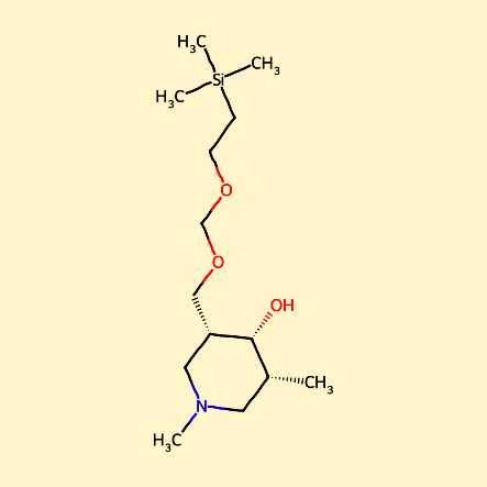 C[C@@H]1CN(C)C[C@H](COCOCC[Si](C)(C)C)[C@@H]1O